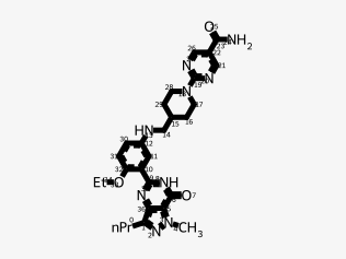 CCCc1nn(C)c2c(=O)[nH]c(-c3cc(NCC4CCN(c5ncc(C(N)=O)cn5)CC4)ccc3OCC)nc12